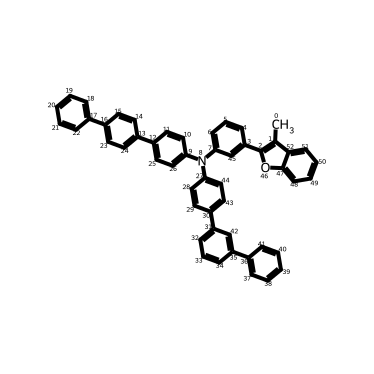 Cc1c(-c2cccc(N(c3ccc(-c4ccc(-c5ccccc5)cc4)cc3)c3ccc(-c4cccc(-c5ccccc5)c4)cc3)c2)oc2ccccc12